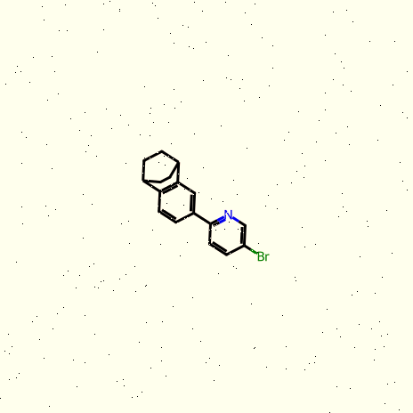 Brc1ccc(-c2ccc3c(c2)C2CCC3CC2)nc1